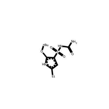 CCCCOc1[nH]c(CC)cc1S(=O)(=O)NC(N)=O